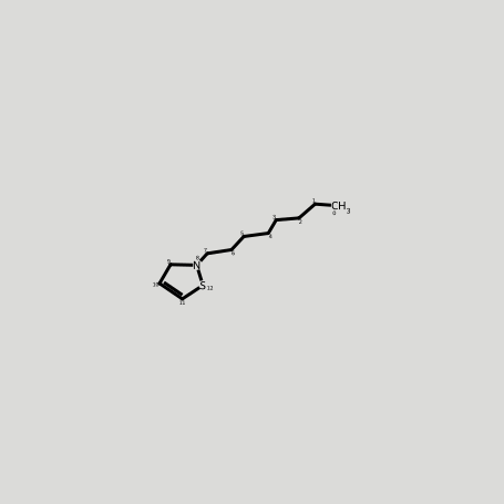 CCCCCCCCN1CC=CS1